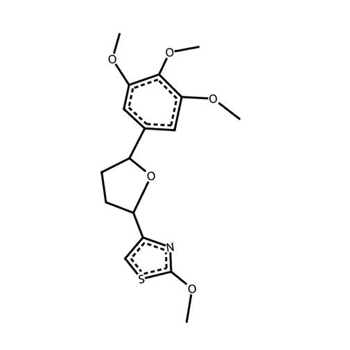 COc1nc(C2CCC(c3cc(OC)c(OC)c(OC)c3)O2)cs1